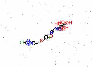 O=C(Cc1ccc(COCCCC2CCN(c3ncc(Cl)cn3)CC2)cc1F)N1CC(CNC[C@H](O)[C@@H](O)[C@H](O)[C@H](O)CO)C1